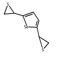 c1cc(C2CS2)[se]c1C1CS1